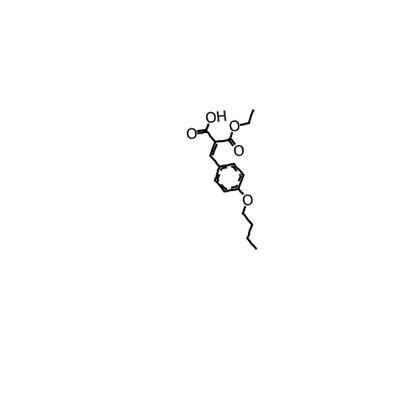 CCCCOc1ccc(C=C(C(=O)O)C(=O)OCC)cc1